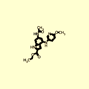 CCOC(=O)c1cc2c(Nc3ccc(OC)nc3)cc(NC(C)=O)cc2[nH]1